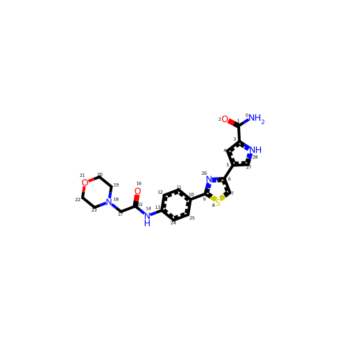 NC(=O)c1cc(-c2csc(-c3ccc(NC(=O)CN4CCOCC4)cc3)n2)c[nH]1